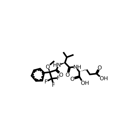 CO[C@](C(=O)N[C@H](C(=O)N[C@H](CCC(=O)O)C(=O)O)C(C)C)(c1ccccc1)C(F)(F)F